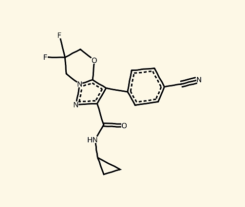 N#Cc1ccc(-c2c(C(=O)NC3CC3)nn3c2OCC(F)(F)C3)cc1